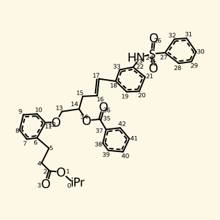 CC(C)OC(=O)CCc1ccccc1OCC(CC=Cc1cccc(NS(=O)(=O)c2ccccc2)c1)OC(=O)c1ccccc1